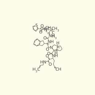 C#CCCC(NC(=O)[C@@H]1[C@H]2CCC[C@H]2CN1C(=O)[C@@H](NC(=O)N[C@H](CN(C)S(=O)(=O)c1cccs1)C(C)(C)C)C1Cc2ccccc2C1)C(=O)C(=O)NCC=C